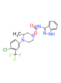 CC1CN(OC(=O)Nc2n[nH]c3ccccc23)CCN1c1ccc(Cl)c(C(F)(F)F)c1